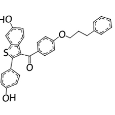 O=C(c1ccc(OCCCc2ccccc2)cc1)c1c(-c2ccc(O)cc2)sc2cc(O)ccc12